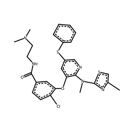 Cc1csc(N(C)c2ncc(Sc3ccccc3)cc2Oc2cc(C(=O)NCCN(C)C)ccc2Cl)n1